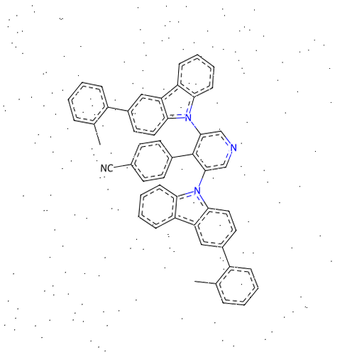 Cc1ccccc1-c1ccc2c(c1)c1ccccc1n2-c1cncc(-n2c3ccccc3c3cc(-c4ccccc4C)ccc32)c1-c1ccc(C#N)cc1